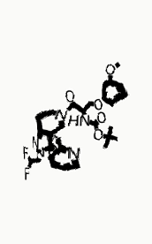 COc1cccc(OCC(NC(=O)OC(C)(C)C)C(=O)N2CCC3=NN(CC(F)F)C(=O)[C@]3(Cc3ccccn3)C2)c1